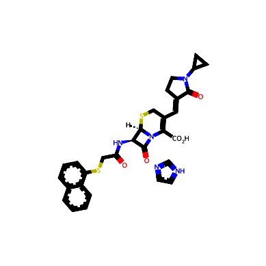 O=C(CSc1cccc2ccccc12)N[C@@H]1C(=O)N2C(C(=O)O)=C(C=C3CCN(C4CC4)C3=O)CS[C@H]12.c1c[nH]cn1